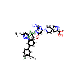 Cc1ccn(-c2cc(-c3ccc(F)c(C)c3)ccc2[C@@H](Oc2cc(N3CCC4(CC3)CNC(C(=O)O)C4)nc(N)n2)C(F)(F)F)n1